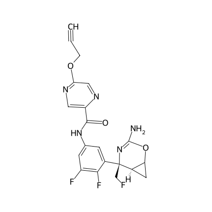 C#CCOc1cnc(C(=O)Nc2cc(F)c(F)c([C@]3(CF)N=C(N)OC4C[C@H]43)c2)cn1